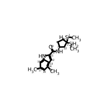 C[SiH2]C1([SiH2]C)CC[C@H](NC(=O)c2cc3c(C)cc(C)cc3[nH]2)C1